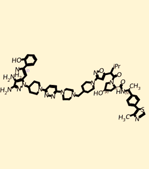 Cc1ncsc1-c1ccc([C@H](C)NC(=O)[C@@H]2C[C@@H](O)CN2C(=O)C(c2cc(N3CCC(CN4CCN(c5ccc(N6CCC(n7nc(N)c(N)c7/C=C(\N)c7ccccc7O)CC6)nn5)CC4)CC3)no2)C(C)C)cc1